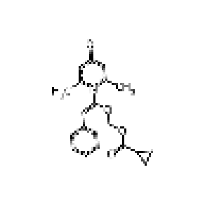 Cc1cc(=O)cc(C)n1C(=Cc1ccccc1)OCOC(=O)C1CC1